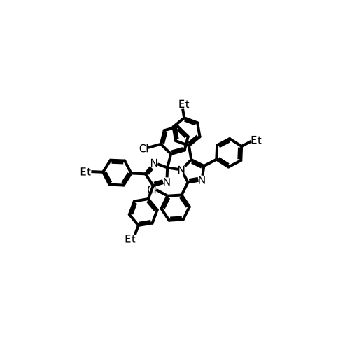 CCc1ccc(C2=NC(c3ccccc3Cl)(n3c(-c4ccccc4Cl)nc(-c4ccc(CC)cc4)c3-c3ccc(CC)cc3)N=C2c2ccc(CC)cc2)cc1